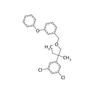 CCC(C)(COCc1cccc(Oc2ccccc2)c1)c1cc(Cl)cc(Cl)c1